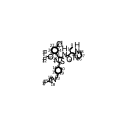 C=C/C(C(=O)Nc1sc(-c2ccc(CN3CC(F)C3)cc2)nc1-c1cc(Cl)ccc1OC(F)F)=C1/N=CC=CN1